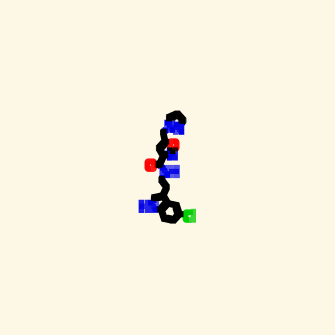 O=C(NCCc1c[nH]c2ccc(Cl)cc12)c1cc(Cn2cccn2)on1